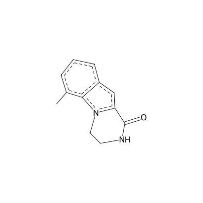 Cc1cccc2cc3n(c12)CCNC3=O